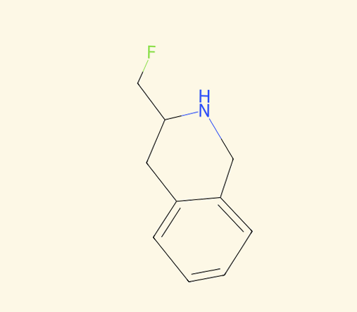 FCC1Cc2ccccc2CN1